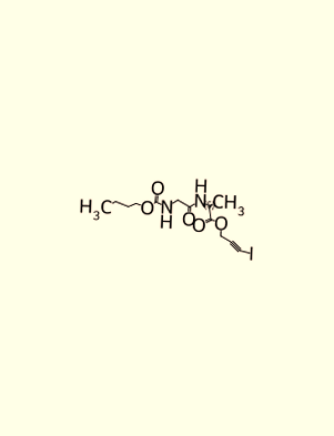 CCCCOC(=O)NCC(=O)N[C@@H](C)C(=O)OCC#CI